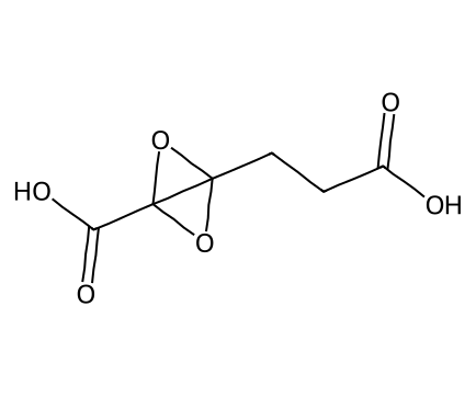 O=C(O)CCC12OC1(C(=O)O)O2